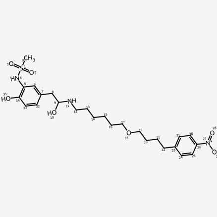 CS(=O)(=O)Nc1cc(CC(O)NCCCCCCOCCCCc2ccc([N+](=O)[O-])cc2)ccc1O